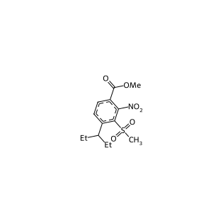 CCC(CC)c1ccc(C(=O)OC)c([N+](=O)[O-])c1S(C)(=O)=O